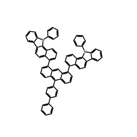 c1ccc(-c2ccc(-c3c4cccc(-c5cccc6c5ccc5c7ccccc7n(-c7ccccc7)c65)c4cc4c(-c5cccc6c5ccc5c7ccccc7n(-c7ccccc7)c65)cccc34)cc2)cc1